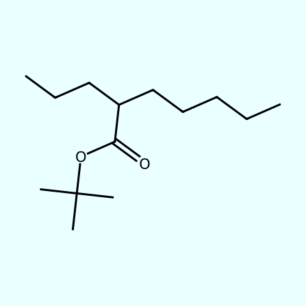 CCCCCC(CCC)C(=O)OC(C)(C)C